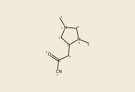 CN1CC(CC(=O)C#N)N(C)C1